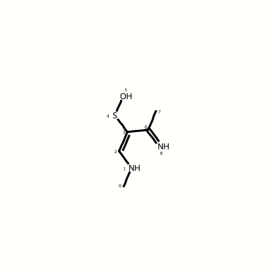 CN/C=C(/SO)C(C)=N